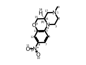 CN1CCN2c3ccc([N+](=O)[O-])cc3OC[C@H]2C1